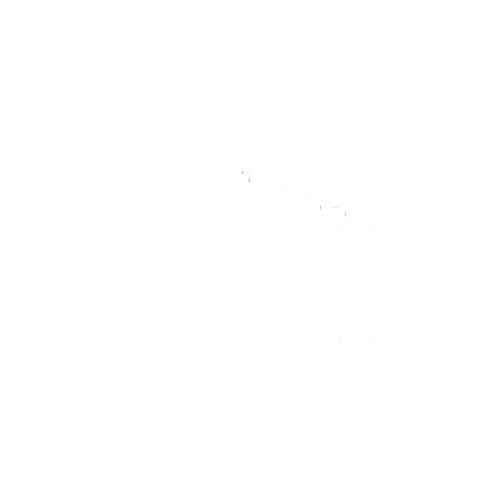 CC1(C)C2=C(C=CC(c3cc(-c4ccccc4)ccc3-c3ccccc3)C2)c2c(-c3ccccc3)cc(N(C3=CCC(c4ccc5c(c4)C=CCC5)C=C3)c3ccccc3)cc21